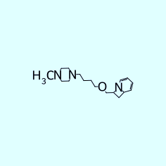 CN1CCN(CCCCOCC2CC3C=CC=CN32)CC1